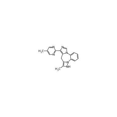 Cc1cnc(-c2ncn3c2Cc2c(C)[nH]n2-c2ccccc2-3)nc1